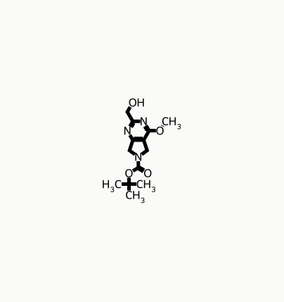 COc1nc(CO)nc2c1CN(C(=O)OC(C)(C)C)C2